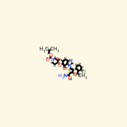 CC(C)COC(=O)N1CCC(Oc2c(Br)cc3ncn(-c4cc(O[C@H](C)c5ccccc5Cl)c(C(N)=O)s4)c3c2Br)CC1